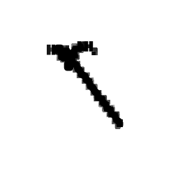 CCCCCCCCCCCCCCCCCCCCCCC(=O)n1cc(CCN)c2cc(O)ccc21